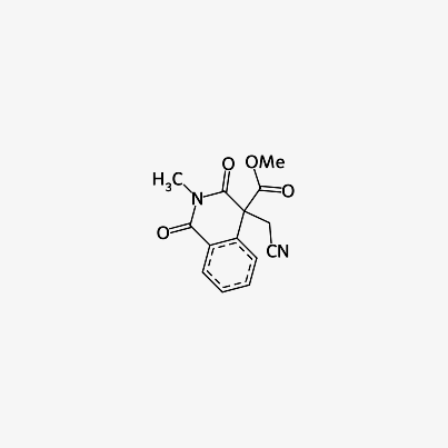 COC(=O)C1(CC#N)C(=O)N(C)C(=O)c2ccccc21